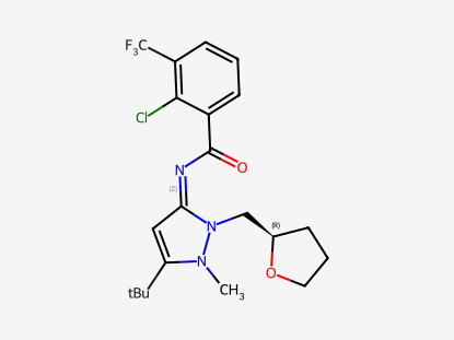 Cn1c(C(C)(C)C)c/c(=N/C(=O)c2cccc(C(F)(F)F)c2Cl)n1C[C@H]1CCCO1